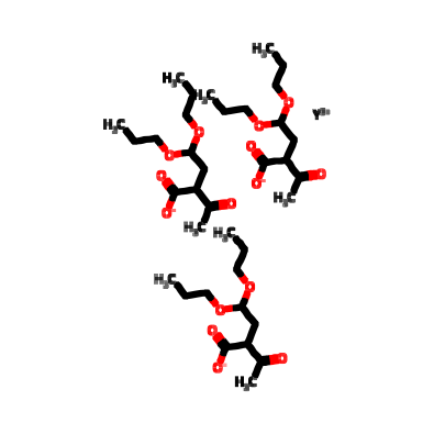 CCCOC(CC(C(C)=O)C(=O)[O-])OCCC.CCCOC(CC(C(C)=O)C(=O)[O-])OCCC.CCCOC(CC(C(C)=O)C(=O)[O-])OCCC.[Y+3]